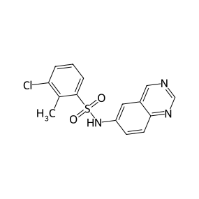 Cc1c(Cl)cccc1S(=O)(=O)Nc1ccc2ncncc2c1